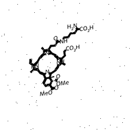 C=Cc1c(C)c2cc3nc(cc4[nH]c(cc5nc(cc1[nH]2)C(C)=C5CCC(=O)NCCCCC(N)C(=O)O)c(CCC(=O)O)c4C)[C@@]1(C)C3=CC=C(C(=O)OC)[C@H]1C(=O)OC